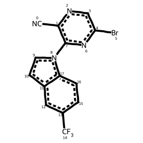 N#Cc1ncc(Br)nc1-n1ccc2cc(C(F)(F)F)ccc21